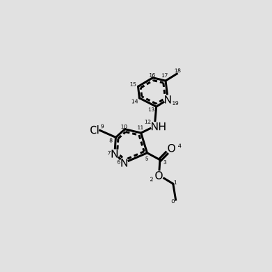 CCOC(=O)c1nnc(Cl)cc1Nc1cccc(C)n1